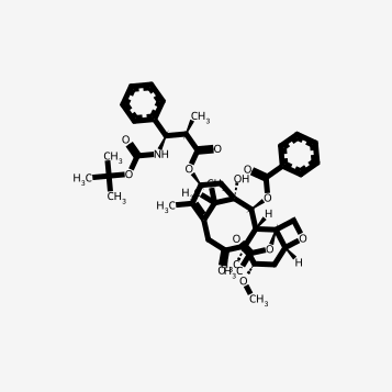 CO[C@H]1C[C@H]2OC[C@@]2(OC(C)=O)[C@H]2[C@H](OC(=O)c3ccccc3)[C@]3(O)C[C@H](OC(=O)[C@H](C)[C@@H](NC(=O)OC(C)(C)C)c4ccccc4)C(C)=C(CC(=O)[C@]12C)C3(C)C